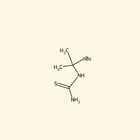 CCCCC(C)(C)NC(N)=S